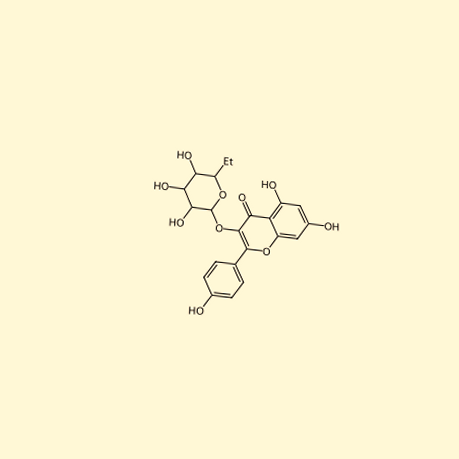 CCC1OC(Oc2c(-c3ccc(O)cc3)oc3cc(O)cc(O)c3c2=O)C(O)C(O)C1O